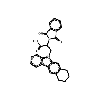 O=C(O)C(Cn1c2ccccc2c2cc3c(cc21)CCCC3)N1C(=O)c2ccccc2C1=O